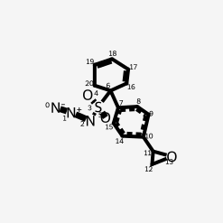 [N-]=[N+]=NS(=O)(=O)C1(c2ccc(C3CO3)cc2)C=CC=CC1